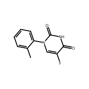 Cc1ccccc1-n1cc(F)c(=O)[nH]c1=O